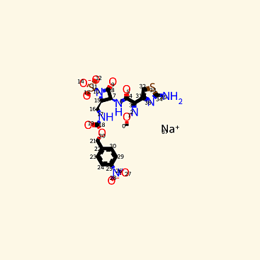 CON=C(C(=O)N[C@@H]1C(=O)N(S(=O)(=O)[O-])[C@@H]1CNC(=O)OCc1ccc([N+](=O)[O-])cc1)c1csc(N)n1.[Na+]